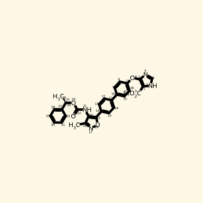 CCOC(=O)c1[nH]cnc1Oc1ccc(-c2ccc(-c3onc(C)c3NC(=O)O[C@H](C)c3ccccc3)cc2)cc1